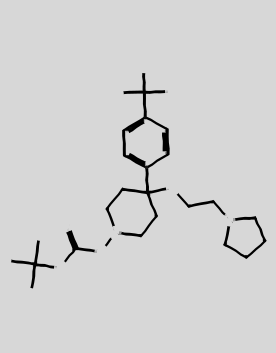 CC(C)(C)OC(=O)ON1CCC(OCCN2CCCC2)(c2ccc(C(F)(F)F)cc2)CC1